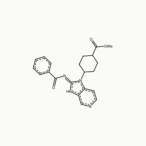 COC(=O)C1CCC(n2/c(=N/C(=O)c3ccccc3)[nH]c3cnccc32)CC1